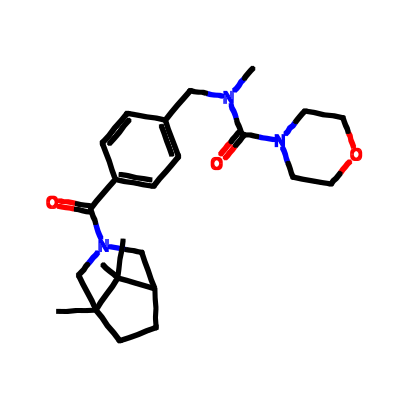 CN(Cc1ccc(C(=O)N2CC3CCC(C)(C2)C3(C)C)cc1)C(=O)N1CCOCC1